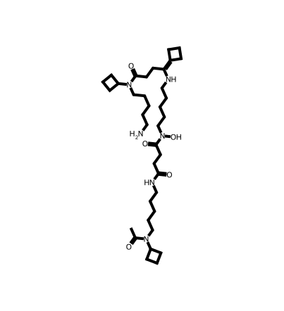 CC(=O)N(CCCCCNC(=O)CCC(=O)N(O)CCCCCNC(CCC(=O)N(CCCCCN)C1CCC1)=C1CCC1)C1CCC1